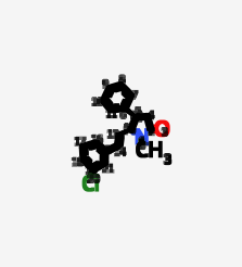 CN1C(=O)C[C@H](c2ccccc2)[C@@H]1C=Cc1cccc(Cl)c1